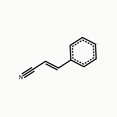 N#C/C=C/c1cc[c]cc1